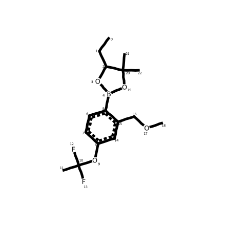 CCC1OB(c2ccc(OC(C)(F)F)cc2COC)OC1(C)C